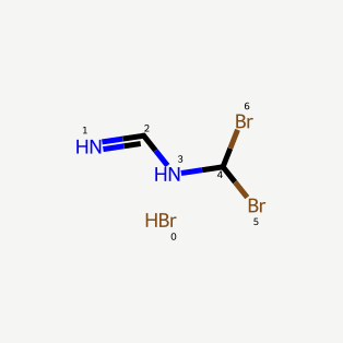 Br.N=CNC(Br)Br